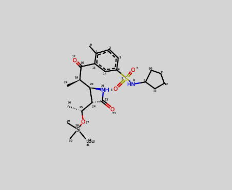 Cc1ccc(S(=O)(=O)NC2CCCC2)cc1C(=O)[C@H](C)[C@H]1NC(=O)[C@@H]1[C@@H](C)O[Si](C)(C)C(C)(C)C